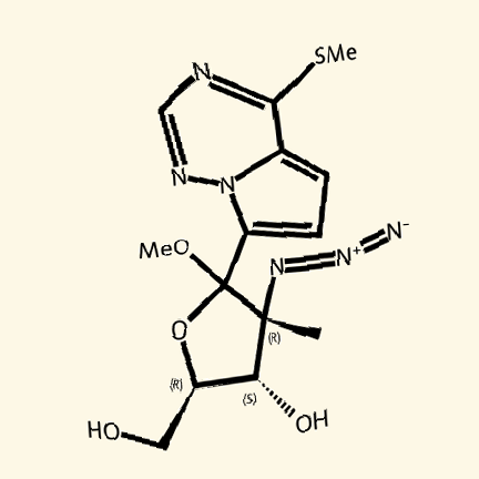 COC1(c2ccc3c(SC)ncnn23)O[C@H](CO)[C@@H](O)[C@@]1(C)N=[N+]=[N-]